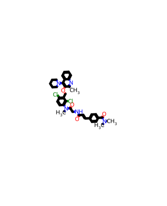 Cc1nc2ccccc2c(N2CCCCC2)c1OCc1c(Cl)ccc(N(C)C(=O)CNC(=O)C=Cc2ccc(C(=O)N(C)C)cc2)c1Cl